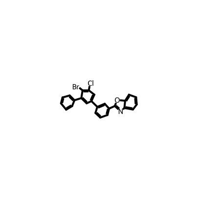 Clc1cc(-c2cccc(-c3nc4ccccc4o3)c2)cc(-c2ccccc2)c1Br